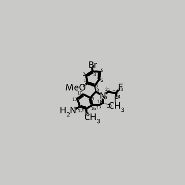 COc1cc(Br)ccc1[C@@H]1c2ccc(N)c(C)c2C[C@@H](C)N1CC(F)F